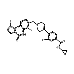 O=C(NC1CC1)c1ccc(C2=CCN(Cc3ccc4c([nH]c(=O)c5ccc(F)n54)c3F)CC2)c(F)n1